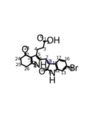 O=C(O)CCc1c(/C=C2\C(=O)Nc3cc(Br)ccc32)[nH]c2c1C(=O)CCC2